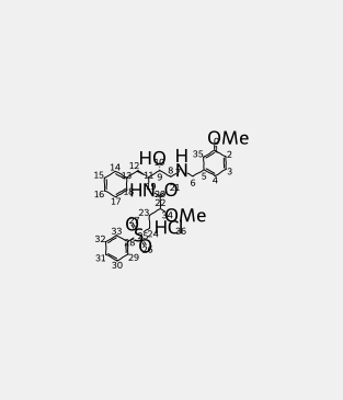 COc1cccc(CNC[C@@H](O)[C@H](Cc2ccccc2)NC(=O)C(CCS(=O)(=O)c2ccccc2)OC)c1.Cl